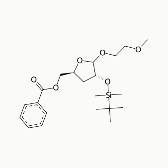 COCCOC1O[C@H](COC(=O)c2ccccc2)C[C@H]1O[Si](C)(C)C(C)(C)C